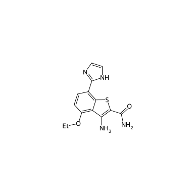 CCOc1ccc(-c2ncc[nH]2)c2sc(C(N)=O)c(N)c12